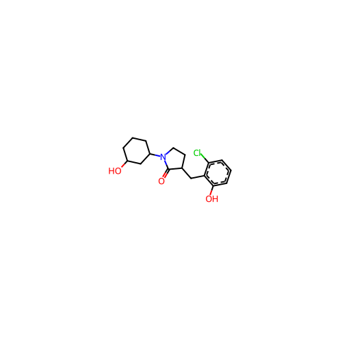 O=C1C(Cc2c(O)cccc2Cl)CCN1C1CCCC(O)C1